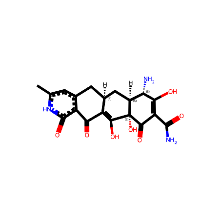 Cc1cc2c(c(=O)[nH]1)C(=O)C1=C(O)[C@]3(O)C(=O)C(C(N)=O)=C(O)[C@@H](N)[C@@H]3C[C@@H]1C2